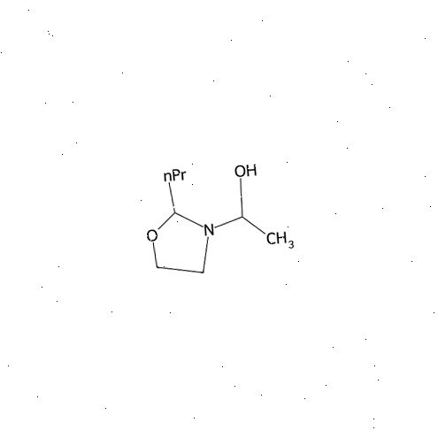 CCCC1OCCN1C(C)O